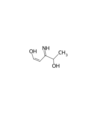 CC(O)C(=N)/C=C\O